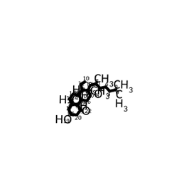 CC(C)CCC(=O)[C@@H](C)[C@H]1CC[C@H]2[C@@H]3CC=C4C[C@@H](O)CC(=O)[C@]4(C)[C@H]3CC[C@]12C